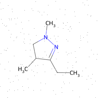 CCC1=NN(C)CC1C